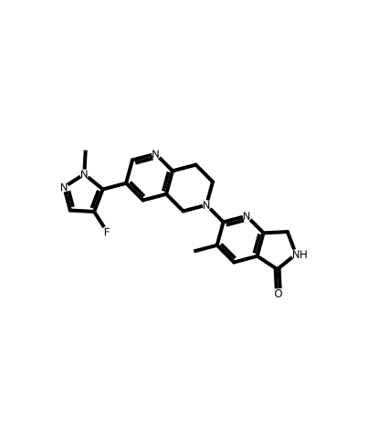 Cc1cc2c(nc1N1CCc3ncc(-c4c(F)cnn4C)cc3C1)CNC2=O